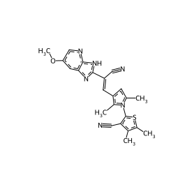 COc1cnc2[nH]c(C(C#N)=Cc3cc(C)n(-c4sc(C)c(C)c4C#N)c3C)nc2c1